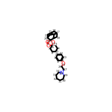 c1cc([C@H]2CC[C@]3(CC2)OO[C@]2(O3)C3CC4CC(C3)CC2C4)ccc1OCCN1CCCCCC1